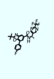 C[C@@H](NC(=O)c1cc(-c2ccc(F)cc2)c2oc(C(C)(C)C)nc2c1)c1cnc(C(F)(F)F)nc1